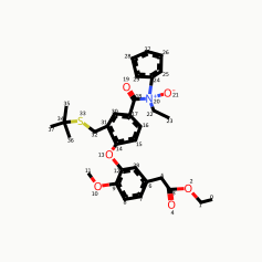 CCOC(=O)Cc1ccc(OC)c(Oc2ccc(C(=O)[N+]([O-])(CC)c3ccccc3)cc2CSC(C)(C)C)c1